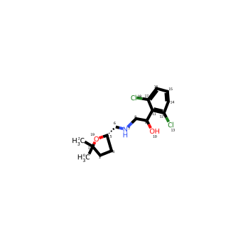 CC1(C)CC[C@@H](CNCC(O)c2c(Cl)cccc2Cl)O1